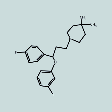 CC1(C)CCN(CCC(Oc2cccc(I)c2)c2ccc(F)cc2)CC1